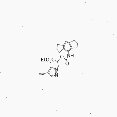 C#Cc1cnn(CC(OC(=O)Nc2c3c(cc4c2CCC4)CCC3)C(=O)OCC)c1